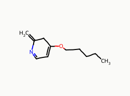 C=C1CC(OCCCCC)=CC=N1